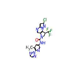 Cc1cc(NC(=O)N2CC(C(F)(F)F)c3c2cnc2cc(Cl)nn32)cnc1-n1nccn1